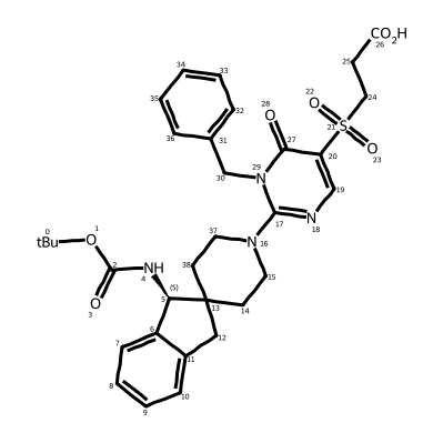 CC(C)(C)OC(=O)N[C@@H]1c2ccccc2CC12CCN(c1ncc(S(=O)(=O)CCC(=O)O)c(=O)n1Cc1ccccc1)CC2